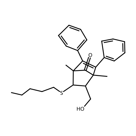 CCCCCSC1C(CO)C2(C)C(=O)C1(C)C(c1ccccc1)=C2c1ccccc1